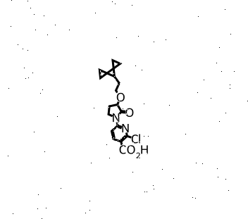 O=C(O)c1ccc(N2CCC(OCCC3C4(CC4)C34CC4)C2=O)nc1Cl